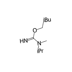 CCC(C)COC(=N)N(C)C(C)C